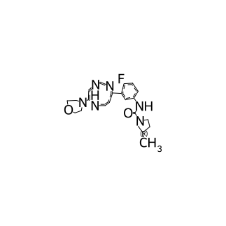 C[C@@H]1CCN(C(=O)Nc2ccc(F)c(-c3cc[nH]c(N4CCOCC4)cncn3)c2)C1